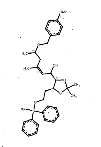 COc1ccc(CO[C@H](C)C/C(C)=C\C(O)[C@H]2OC(C)(C)O[C@H]2CCO[Si](c2ccccc2)(c2ccccc2)C(C)(C)C)cc1